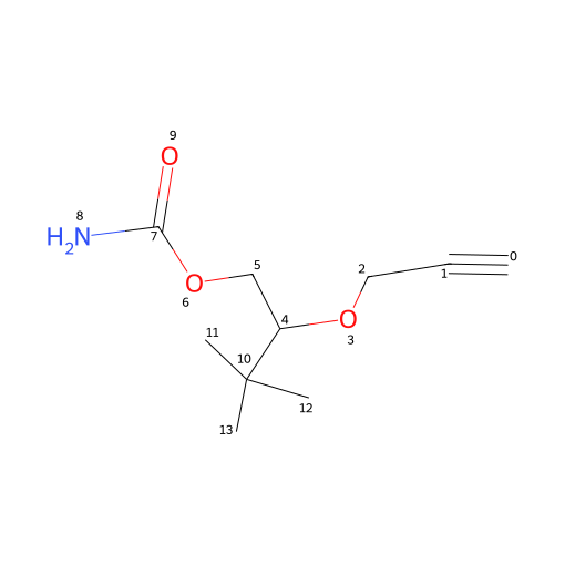 C#CCOC(COC(N)=O)C(C)(C)C